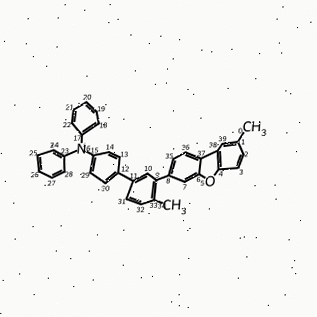 Cc1ccc2oc3cc(-c4cc(-c5ccc(N(c6ccccc6)c6ccccc6)cc5)ccc4C)ccc3c2c1